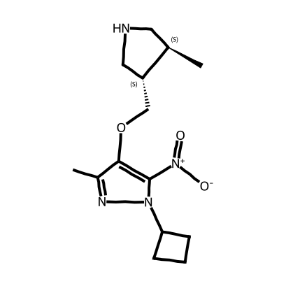 Cc1nn(C2CCC2)c([N+](=O)[O-])c1OC[C@@H]1CNC[C@H]1C